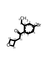 CCc1cc(Br)ccc1C(=O)CC1COC1